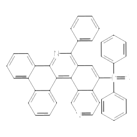 S=P(c1ccccc1)(c1ccccc1)c1cc2c(-c3ccccc3)nc3c4ccccc4c4ccccc4c3c2c2cnccc12